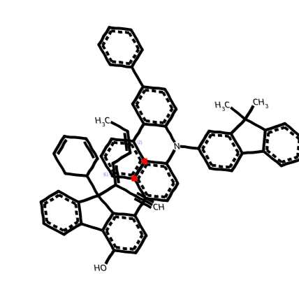 C#C/C(=C\C=C/C)C1(C2C=CC=CC2)c2ccccc2-c2c(O)ccc(-c3ccc(N(c4ccc5c(c4)C(C)(C)c4ccccc4-5)c4ccc(-c5ccccc5)cc4-c4ccccc4)cc3)c21